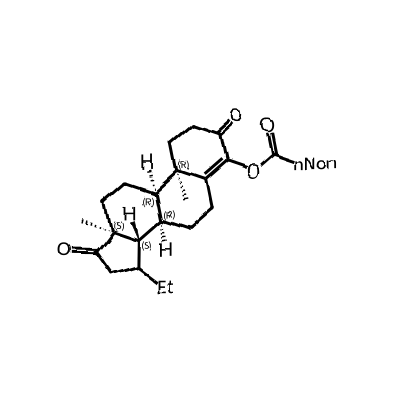 CCCCCCCCCC(=O)OC1=C2CC[C@@H]3[C@@H](CC[C@]4(C)C(=O)CC(CC)[C@@H]34)[C@@]2(C)CCC1=O